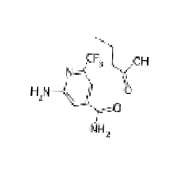 CCCC(=O)O.NC(=O)c1cc(N)nc(C(F)(F)F)c1